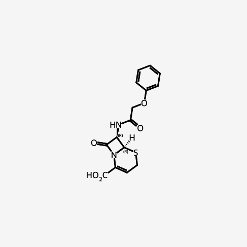 O=C(COc1ccccc1)N[C@@H]1C(=O)N2C(C(=O)O)=CCS[C@H]12